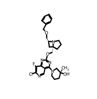 C[C@@]1(O)CCCN(c2nc(OC[C@@]34CCCN3[C@@H](COCc3ccccc3)C4)nc3c(F)c(Cl)ncc23)C1